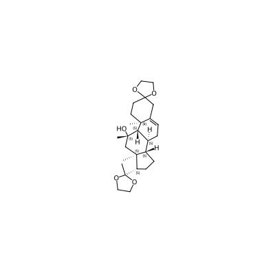 CC1([C@H]2CC[C@H]3[C@@H]4CC=C5CC6(CC[C@]5(C)[C@H]4[C@@](C)(O)C[C@]23C)OCCO6)OCCO1